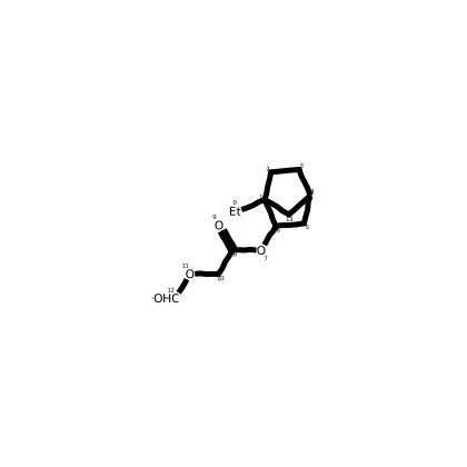 CCC12CCC(CC1OC(=O)CO[C]=O)C2